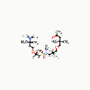 CC(=O)CC(C)(C)COCC(C)(C)CN(C)S(=O)(=O)CC(C)(C)OCCC(C)(C)N(C)C